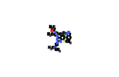 C=CC(=O)N1C[C@H](C)N(c2nc(N3CC(N(C)C)C3)nc3c(F)c(-c4c(C)ccc5cnn(C(C)C)c45)c(Cl)cc23)C[C@H]1C